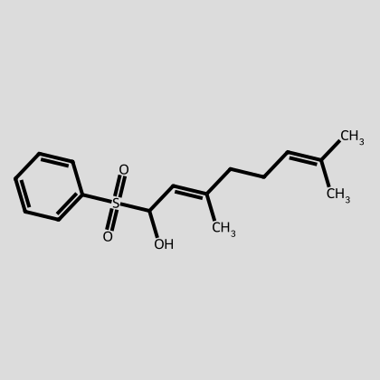 CC(C)=CCC/C(C)=C/C(O)S(=O)(=O)c1ccccc1